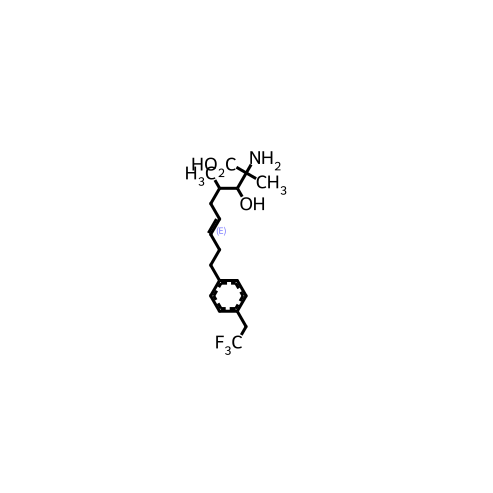 CC(C/C=C/CCc1ccc(CC(F)(F)F)cc1)C(O)C(C)(N)C(=O)O